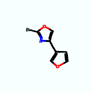 CCc1nc(-c2ccoc2)co1